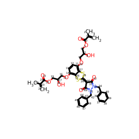 C=C(C)C(=O)OCC(O)COc1ccc(OCC(O)COC(=O)C(=C)C)c2c1SC(=C1C(=O)N(Cc3ccccc3)N(Cc3ccccc3)C1=O)S2